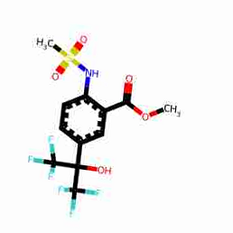 COC(=O)c1cc(C(O)(C(F)(F)F)C(F)(F)F)ccc1NS(C)(=O)=O